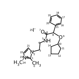 Cc1n(CCNC(=O)C(OC2CCCC2)c2ccccc2)cc[n+]1C.[I-]